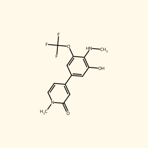 CNc1c(O)cc(-c2ccn(C)c(=O)c2)cc1OC(F)(F)F